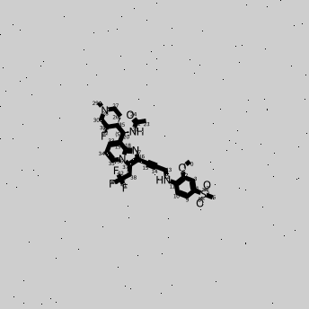 COc1cc(S(C)(=O)=O)ccc1NCC#Cc1nc2c([C@@H](NC(C)=O)[C@H]3CCN(C)C[C@@H]3F)cccn2c1CC(F)(F)F